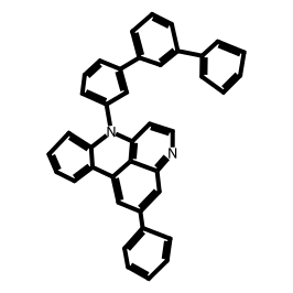 c1ccc(-c2cccc(-c3cccc(N4c5ccccc5-c5cc(-c6ccccc6)cc6nccc4c56)c3)c2)cc1